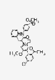 COc1cn(C(Cc2ccccc2)C(=O)Nc2ccc(S(C)(=O)=O)cc2)c(=O)cc1-c1cc(Cl)ccc1C(C)=O